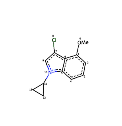 COc1c[c]cc2c1c(Cl)cn2C1CC1